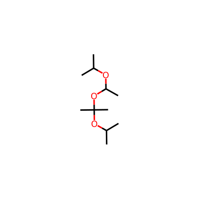 CC(C)OC(C)OC(C)(C)OC(C)C